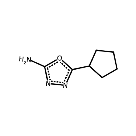 Nc1nnc(C2CCCC2)o1